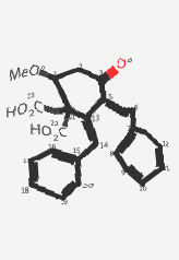 COC1CC(=O)C(=Cc2ccccc2)C(=Cc2ccccc2)C1(C(=O)O)C(=O)O